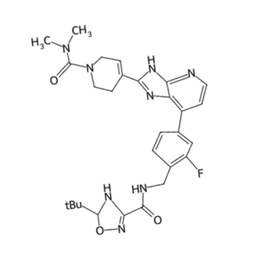 CN(C)C(=O)N1CC=C(c2nc3c(-c4ccc(CNC(=O)C5=NOC(C(C)(C)C)N5)c(F)c4)ccnc3[nH]2)CC1